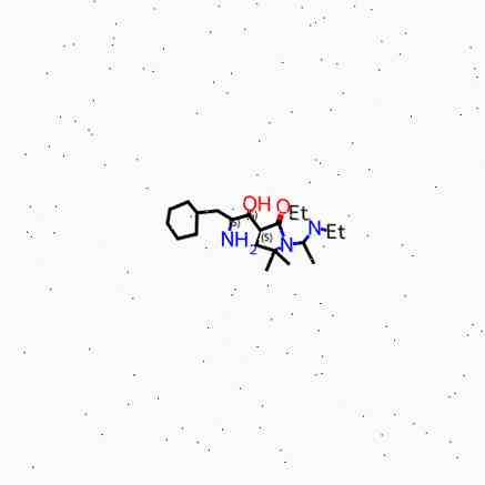 CCN(CC)C(C)N1C(=O)[C@H]([C@H](O)[C@@H](N)CC2CCCCC2)CC1(C)C